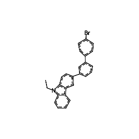 CCn1c2ccccc2c2cc(-c3cccc(-c4ccc(Br)cc4)c3)ccc21